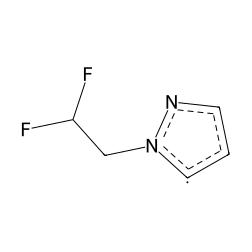 FC(F)Cn1[c]ccn1